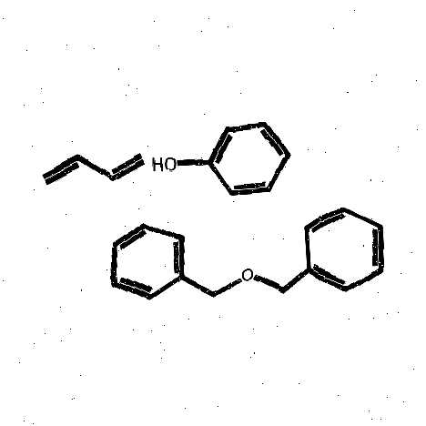 C=CC=C.Oc1ccccc1.c1ccc(COCc2ccccc2)cc1